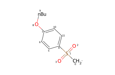 [CH2]S(=O)(=O)c1ccc(OCCCC)cc1